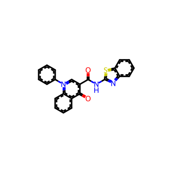 O=C(Nc1nc2ccccc2s1)c1cn(-c2ccccc2)c2ccccc2c1=O